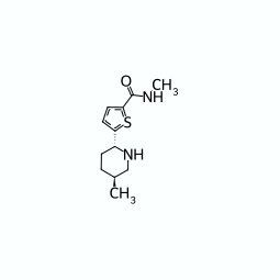 CNC(=O)c1ccc([C@H]2CC[C@H](C)CN2)s1